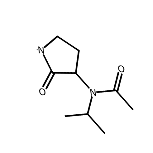 CC(=O)N(C(C)C)C1CC[N]C1=O